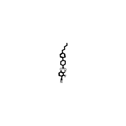 CCCCCc1ccc(C2CCC(C(=O)Oc3ccc(C#N)c(F)c3F)CC2)cc1